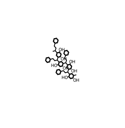 Cc1cc(C(CCc2ccccc2)c2cc(C(CCc3ccccc3)c3cc(C(CCc4ccccc4)c4cc(C(C)CCc5ccccc5)c(O)cc4O)c(O)cc3O)c(O)cc2O)c(O)cc1O